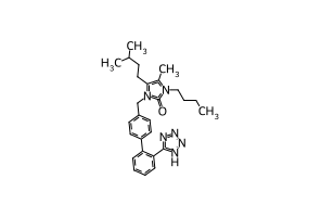 CCCCn1c(C)c(CCC(C)C)n(Cc2ccc(-c3ccccc3-c3nnn[nH]3)cc2)c1=O